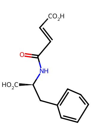 O=C(O)/C=C/C(=O)N[C@@H](Cc1ccccc1)C(=O)O